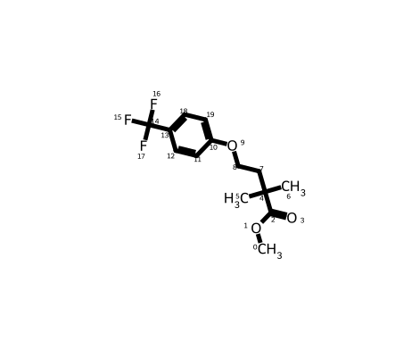 COC(=O)C(C)(C)CCOc1ccc(C(F)(F)F)cc1